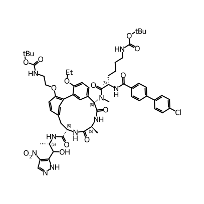 CCOc1ccc2cc1-c1cc(ccc1OCCNC(=O)OC(C)(C)C)C[C@@H](C(=O)N[C@@H](C)C(O)c1[nH]ncc1[N+](=O)[O-])NC(=O)[C@H](C)NC(=O)[C@H]2N(C)C(=O)[C@H](CCCCNC(=O)OC(C)(C)C)NC(=O)c1ccc(-c2ccc(Cl)cc2)cc1